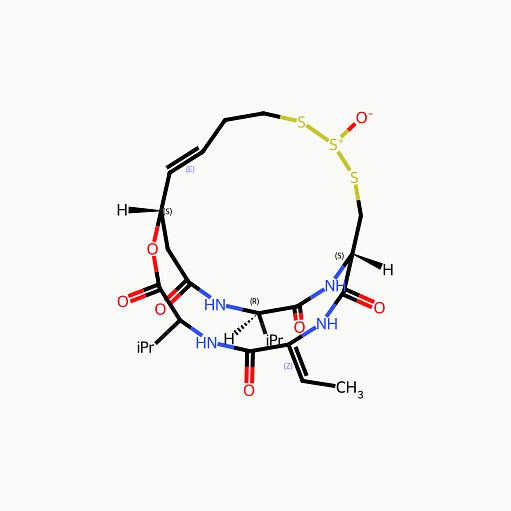 C/C=C1\NC(=O)[C@H]2CS[S+]([O-])SCC/C=C/[C@H](CC(=O)N[C@H](C(C)C)C(=O)N2)OC(=O)C(C(C)C)NC1=O